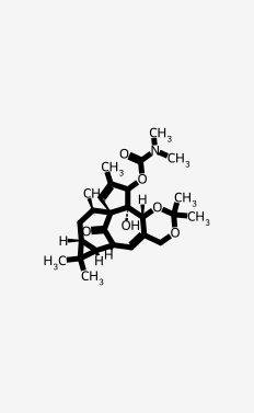 CC1=C[C@]23C(=O)[C@@H](C=C4COC(C)(C)O[C@H]4[C@]2(O)C1OC(=O)N(C)C)[C@H]1[C@@H](C[C@H]3C)C1(C)C